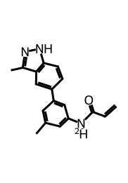 [2H]N(C(=O)C=C)c1cc(C)cc(-c2ccc3[nH]nc(C)c3c2)c1